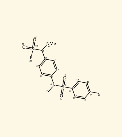 CNC(c1ccc(N(C)S(=O)(=O)c2ccc(C)cc2)cc1)S(=O)(=O)F